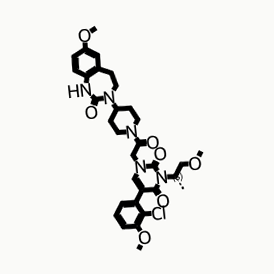 COC[C@H](C)n1c(=O)c(-c2cccc(OC)c2Cl)cn(CC(=O)N2CCC(N3CCc4cc(OC)ccc4NC3=O)CC2)c1=O